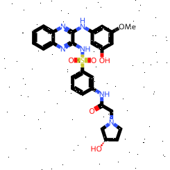 COc1cc(O)cc(Nc2nc3ccccc3nc2NS(=O)(=O)c2cccc(NC(=O)CN3CC[C@H](O)C3)c2)c1